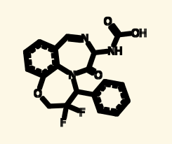 O=C(O)NC1N=Cc2cccc3c2N(C1=O)C(c1ccccc1)C(F)(F)CO3